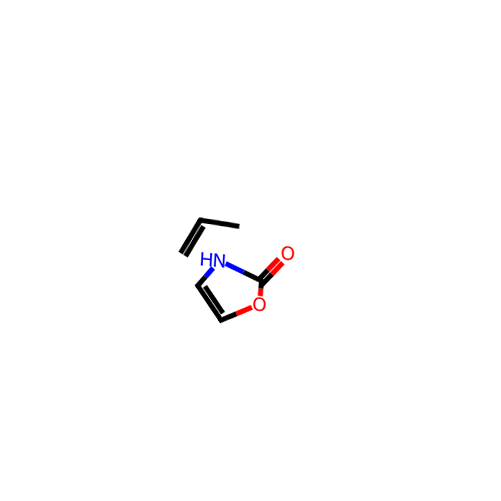 C=CC.O=c1[nH]cco1